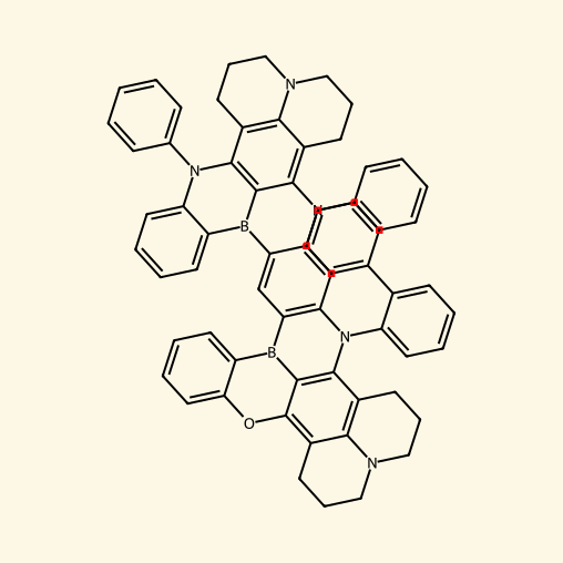 c1ccc(-c2ccccc2N2c3cc4c(cc3B3c5ccccc5Oc5c6c7c(c2c53)CCCN7CCC6)B2c3ccccc3N(c3ccccc3)c3c5c6c(c(c32)N4c2ccccc2)CCCN6CCC5)cc1